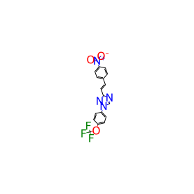 O=[N+]([O-])c1ccc(C=Cc2ncn(-c3ccc(OC(F)(F)F)cc3)n2)cc1